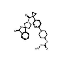 CCCOC(=O)ON1CCN(c2ccc(C3(C(=O)N4CCC5(C4)OC(=O)c4ccccc45)CC3)cn2)CC1